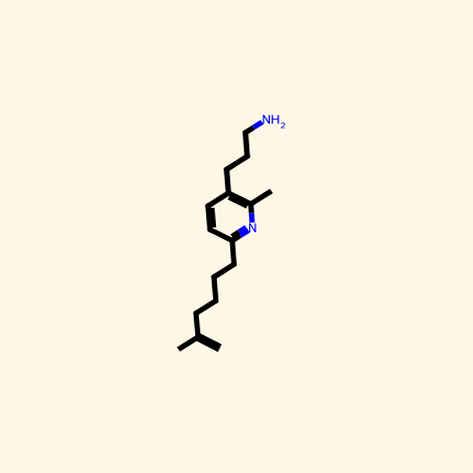 C=C(C)CCCCc1ccc(CCCN)c(C)n1